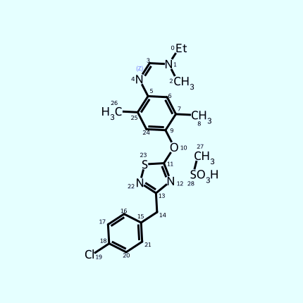 CCN(C)/C=N\c1cc(C)c(Oc2nc(Cc3ccc(Cl)cc3)ns2)cc1C.CS(=O)(=O)O